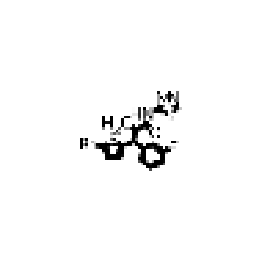 CC(C(=O)Nc1nncs1)C(c1cccc(F)c1)c1ccc(Br)s1